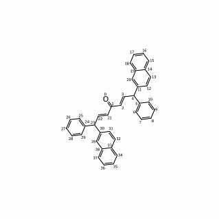 O=C(C=CC(c1ccccc1)c1ccc2ccccc2c1)C=CC(c1ccccc1)c1ccc2ccccc2c1